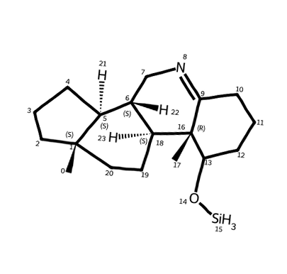 C[C@@]12CCC[C@H]1[C@@H]1CN=C3CCCC(O[SiH3])[C@]3(C)[C@H]1CC2